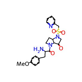 COc1ccc(CC(N)C(=O)N2CCC3C2C(=O)CN3S(=O)(=O)Cc2ccccn2)cc1